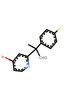 CC(C=O)(c1ccc(F)cc1)c1cc(Br)ccn1